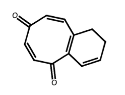 O=c1ccc2c(c(=O)cc1)C=CCC2